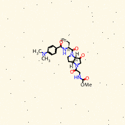 COC(=O)NCC(=O)N1CC(=O)[C@@H]2[C@H]1CCN2C(=O)[C@H](CC(C)C)NC(=O)c1ccc(N(C)C)cc1